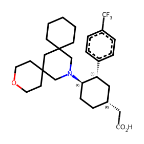 O=C(O)C[C@@H]1CC[C@@H](N2CC3(CCCCC3)CC3(CCOCC3)C2)[C@H](c2ccc(C(F)(F)F)cc2)C1